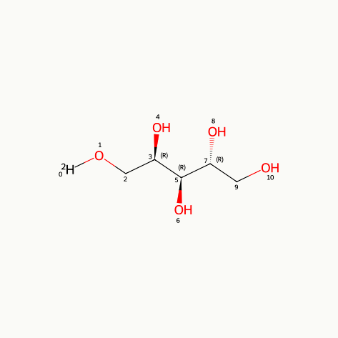 [2H]OC[C@@H](O)[C@H](O)[C@H](O)CO